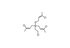 CC(Cl)=CCO[Si](CC=C(C)Cl)(CC=C(C)Cl)CCCl